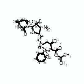 C=C(CP(=O)(OC[C@H]1O[C@@H](n2ccc(=O)[nH]c2=O)[C@](C)(F)[C@@H]1N=O)Oc1ccccc1)[C@@H](C)C(=O)OC(C)C